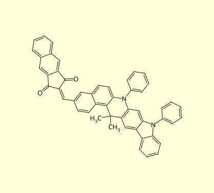 CC1(C)c2cc3c4ccccc4n(-c4ccccc4)c3cc2N(c2ccccc2)c2ccc3cc(C=C4C(=O)c5cc6ccccc6cc5C4=O)ccc3c21